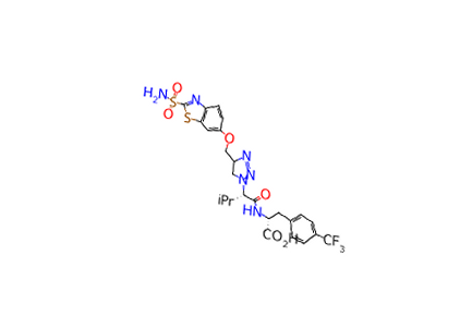 CC(C)[C@@H](C(=O)N[C@H](Cc1ccc(C(F)(F)F)cc1)C(=O)O)N1CC(COc2ccc3nc(S(N)(=O)=O)sc3c2)N=N1